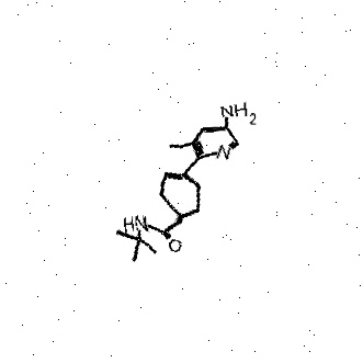 Cc1cc(N)cnc1C1=CCC(C(=O)NC(C)(C)C)CC1